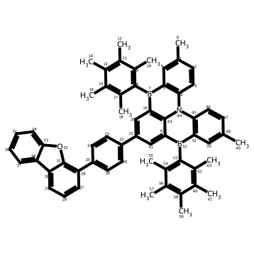 Cc1ccc2c(c1)B(c1c(C)c(C)c(C)c(C)c1C)c1cc(-c3ccc(-c4cccc5c4oc4ccccc45)cc3)cc3c1N2c1ccc(C)cc1B3c1c(C)c(C)c(C)c(C)c1C